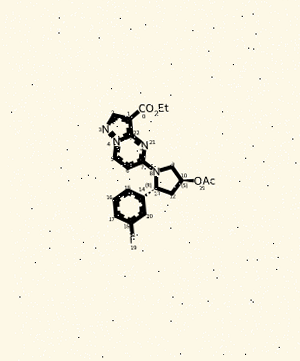 CCOC(=O)c1cnn2ccc(N3C[C@@H](OC(C)=O)C[C@@H]3c3cccc(F)c3)nc12